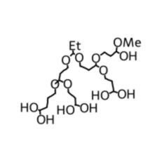 CCC(OCCC(OCCCC(O)O)OCCC(O)O)OCCC(OCCC(O)O)OCCC(O)OC